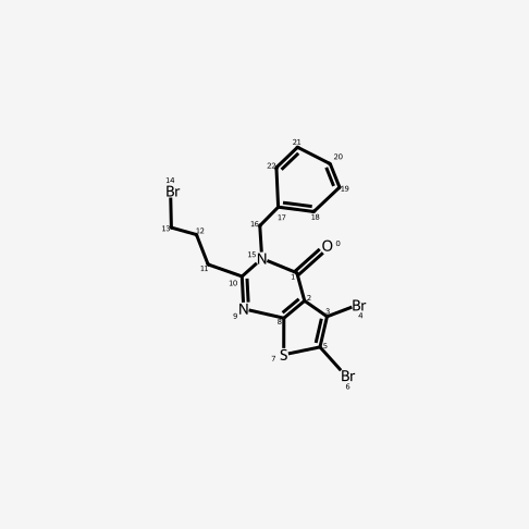 O=c1c2c(Br)c(Br)sc2nc(CCCBr)n1Cc1ccccc1